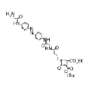 CCOC(=O)[C@@H]1C[C@@H](CCCC(=O)NCC(=O)Nc2ccc(/N=N/c3ccc(NC(=O)CN)cc3)cc2)C(=O)N1C(=O)OC(C)(C)C